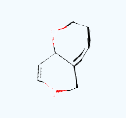 [CH]1C=C2COC=CC2OC1